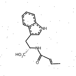 C/C=C/C(=O)N[C@@H](Cc1c[nH]c2ccccc12)C(=O)O